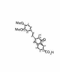 COc1ccc(C=Cc2nc3ccc(C(=O)O)cn3c(=O)c2C)cc1OC